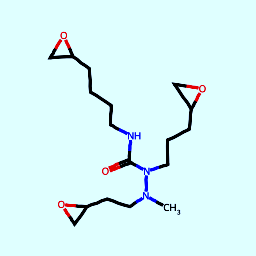 CN(CCC1CO1)N(CCCC1CO1)C(=O)NCCCCC1CO1